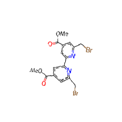 COC(=O)c1cc(CBr)nc(-c2cc(C(=O)OC)cc(CBr)n2)c1